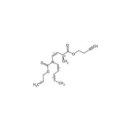 C#CCCOC(=O)[C@@H](C)/C=C\N(/C=C\C=C/C)C(=O)OCC=C